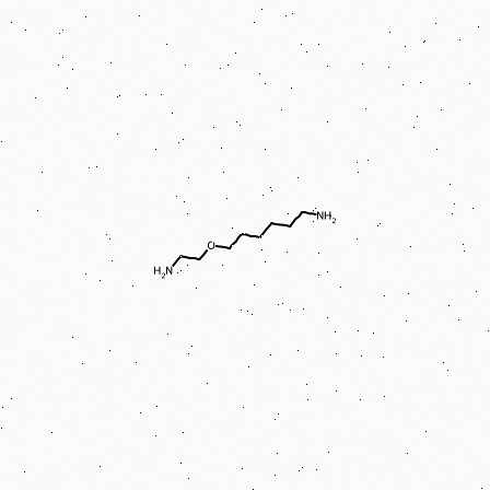 NCCCCCCOCCN